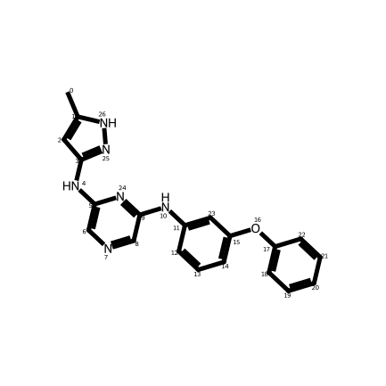 Cc1cc(Nc2cncc(Nc3cccc(Oc4ccccc4)c3)n2)n[nH]1